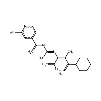 C=C(CC)C(/N=C(\C)NC(=C)c1ccnc(CCC)c1)=C(C)\C(=C/C)C1CCCCC1